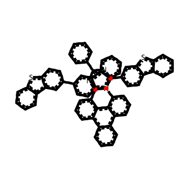 c1ccc(-c2nc(-c3ccc4c(c3)sc3ccccc34)nc(-c3cccc4c5ccccc5c5cccc(-n6c7ccccc7c7cc(-c8ccc9sc%10ccccc%10c9c8)ccc76)c5c34)n2)cc1